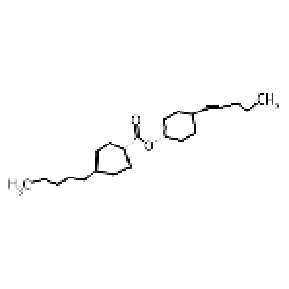 CCCC=C[C@H]1CC[C@H](OC(=O)[C@H]2CC[C@H](CCCCC)CC2)CC1